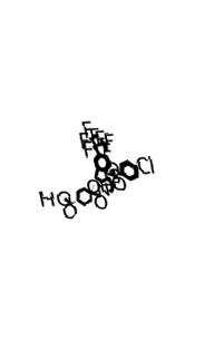 O=C(O)[C@H]1CC[C@](O)(C(=O)N2CCC3(S(=O)(=O)c4ccc(Cl)cc4)c4ccc(C(F)(C(F)(F)F)C(F)(F)F)cc4CC23)CC1